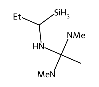 CCC([SiH3])NC(C)(NC)NC